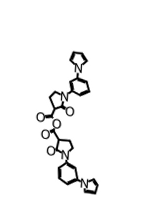 O=C(OC(=O)C1CCN(c2cccc(-n3cccc3)c2)C1=O)C1CCN(c2cccc(-n3cccc3)c2)C1=O